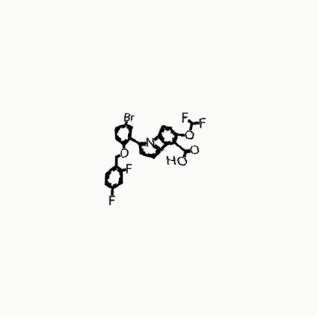 O=C(O)c1c(OC(F)F)ccc2c1-c1ccc(-c3cc(Br)ccc3OCc3ccc(F)cc3F)n1-2